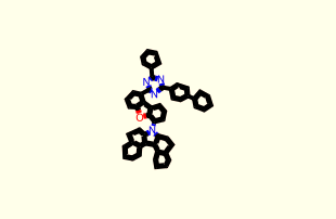 c1ccc(-c2ccc(-c3nc(-c4ccccc4)nc(-c4cccc5oc6c(-n7c8ccc9ccccc9c8c8c9ccccc9ccc87)cccc6c45)n3)cc2)cc1